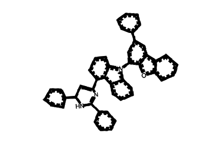 C1=C(c2cccc3c2c2ccccc2n3-c2cc(-c3ccccc3)cc3c2oc2ccccc23)N=C(c2ccccc2)NC1c1ccccc1